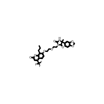 CCCc1c(OCCOCCN2C(=O)NC(C)(c3ccc4c(c3)OCO4)C2=O)ccc2c(C(F)(F)F)cc(=O)oc12